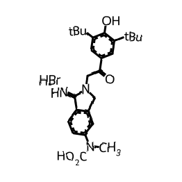 Br.CN(C(=O)O)c1ccc2c(c1)CN(CC(=O)c1cc(C(C)(C)C)c(O)c(C(C)(C)C)c1)C2=N